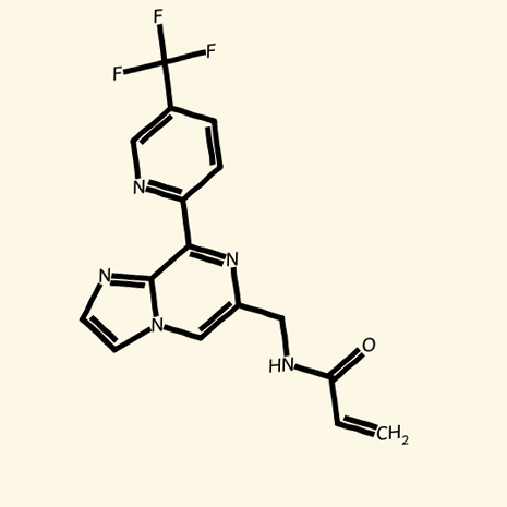 C=CC(=O)NCc1cn2ccnc2c(-c2ccc(C(F)(F)F)cn2)n1